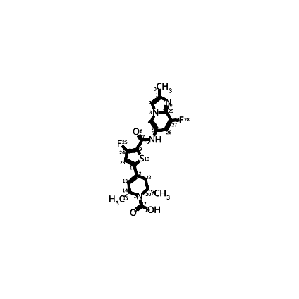 Cc1cn2cc(NC(=O)c3sc(C4=C[C@@H](C)N(C(=O)O)[C@@H](C)C4)cc3F)cc(F)c2n1